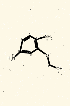 Nc1ccc(N)c(OCO)c1